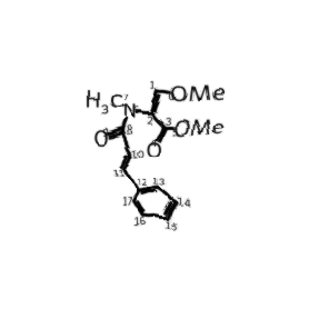 COC=C(C(=O)OC)N(C)C(=O)C=Cc1ccccc1